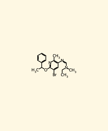 CCN(C)/C=N\c1cc(Br)c(OC(C)c2ccccc2)nc1C